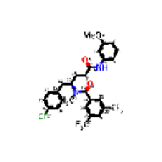 COc1cccc(NC(=O)CCC(Cc2ccc(Cl)cc2)N(C)C(=O)c2cc(C(F)(F)F)cc(C(F)(F)F)c2)c1